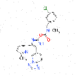 Cc1cccc(-c2nc(OC(=O)N(C)Cc3cccc(Cl)c3)[nH]c2-c2ccc3ncnn3c2)n1